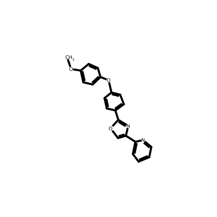 COc1ccc(Oc2ccc(-c3nc(-c4ccccn4)co3)cc2)cc1